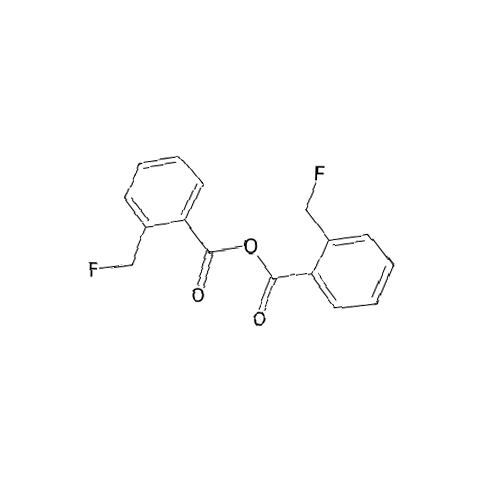 O=C(OC(=O)c1ccccc1CF)c1ccccc1CF